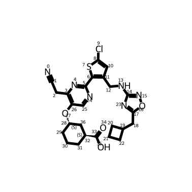 N#CCc1nc(-c2sc(Cl)cc2CNc2noc(CC3CCC3)n2)ncc1O[C@H]1CCC[C@H](C(=O)O)C1